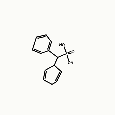 O=P(O)(O)C(c1ccccc1)C1C=CCC=C1